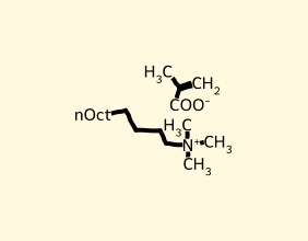 C=C(C)C(=O)[O-].CCCCCCCCCCCC[N+](C)(C)C